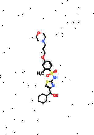 Cc1cc(OCCCN2CCOCC2)ccc1S(=O)(=O)Nc1nc(C(O)C2CCCCC2)cs1